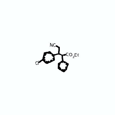 CCOC(=O)C(c1ccccc1)C(CC#N)c1ccc(Cl)cc1